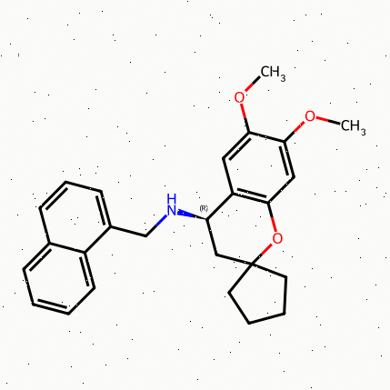 COc1cc2c(cc1OC)[C@H](NCc1cccc3ccccc13)CC1(CCCC1)O2